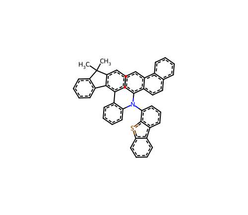 CC1(C)c2ccccc2-c2c(-c3ccccc3N(c3cccc4c3ccc3ccccc34)c3cccc4c3sc3ccccc34)cccc21